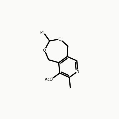 CC(=O)Oc1c(C)ncc2c1COC(C(C)C)OC2